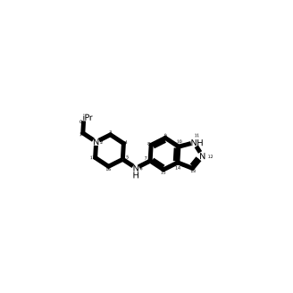 CC(C)CN1CCC(Nc2ccc3[nH]ncc3c2)CC1